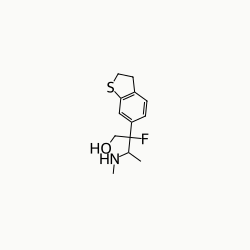 CNC(C)C(F)(CO)c1ccc2c(c1)SCC2